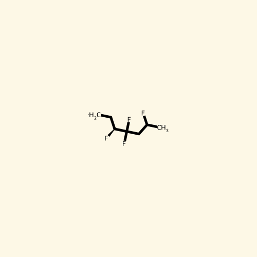 [CH2]C[C@H](F)C(F)(F)CC(C)F